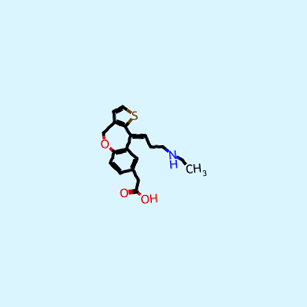 CCNCC/C=C1\c2cc(CC(=O)O)ccc2OCc2ccsc21